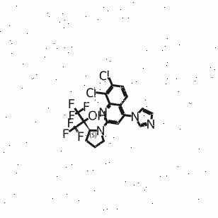 OC([C@@H]1CCCN1c1cc(-n2ccnc2)c2ccc(Cl)c(Cl)c2n1)(C(F)(F)F)C(F)(F)F